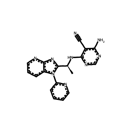 C[C@H](Nc1ncnc(N)c1C#N)c1nc2ncccc2n1-c1ccccn1